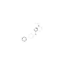 O=C(c1csc2c1CCC/C2=N/O)N1CCC(c2ccccc2)CC1